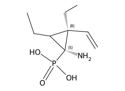 C=C[C@]1(CC)C(CC)[C@]1(N)P(=O)(O)O